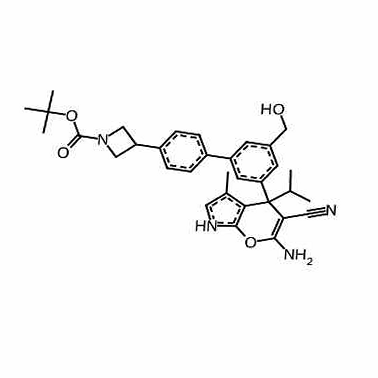 Cc1c[nH]c2c1C(c1cc(CO)cc(-c3ccc(C4CN(C(=O)OC(C)(C)C)C4)cc3)c1)(C(C)C)C(C#N)=C(N)O2